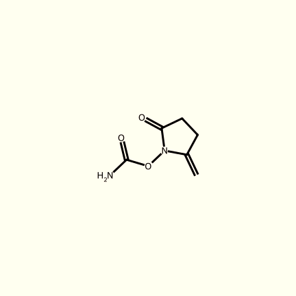 C=C1CCC(=O)N1OC(N)=O